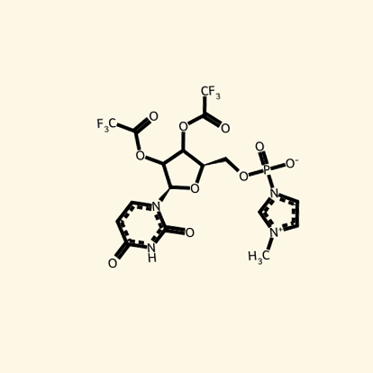 C[n+]1ccn(P(=O)([O-])OC[C@H]2O[C@@H](n3ccc(=O)[nH]c3=O)C(OC(=O)C(F)(F)F)C2OC(=O)C(F)(F)F)c1